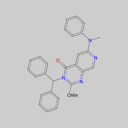 COc1nc2cnc(N(C)c3ccccc3)cc2c(=O)n1C(c1ccccc1)c1ccccc1